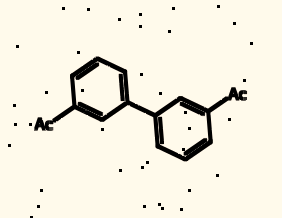 CC(=O)c1cccc(-c2cccc(C(C)=O)c2)c1